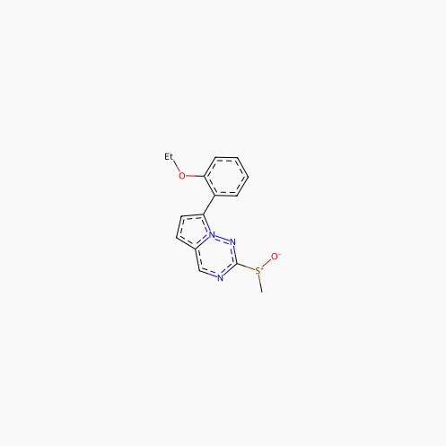 CCOc1ccccc1-c1ccc2cnc([S+](C)[O-])nn12